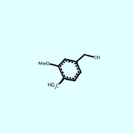 COc1cc(CC#N)ccc1C(=O)O